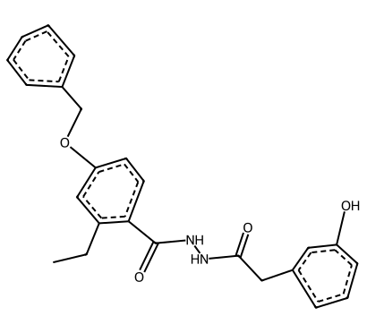 CCc1cc(OCc2ccccc2)ccc1C(=O)NNC(=O)Cc1cccc(O)c1